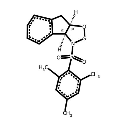 Cc1cc(C)c(S(=O)(=O)N2SO[C@@H]3Cc4ccccc4[C@@H]32)c(C)c1